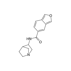 O=C(NC1CN2CCC1C2)c1ccc2cocc2c1